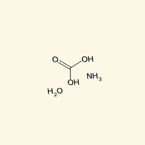 N.O.O=C(O)O